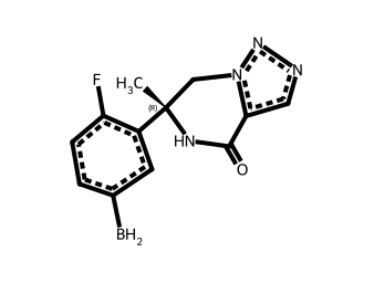 Bc1ccc(F)c([C@]2(C)Cn3nncc3C(=O)N2)c1